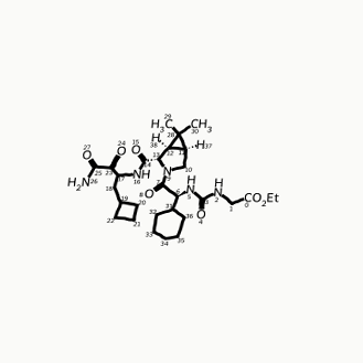 CCOC(=O)CNC(=O)N[C@H](C(=O)N1C[C@H]2[C@@H]([C@H]1C(=O)NC(CC1CCC1)C(=O)C(N)=O)C2(C)C)C1CCCCC1